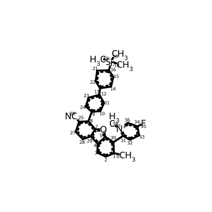 Cc1ccc2c(oc3c(-c4ccc(-c5ccc([Si](C)(C)C)cc5)cc4)c(C#N)ccc32)c1-c1ccc(F)c[n+]1C